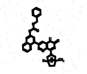 C[C@]12CC[C@H](CN(c3nc(=O)[nH]c4cc(-c5cc(OC(=O)OCc6ccccc6)cc6ccccc56)nnc34)C1)N2